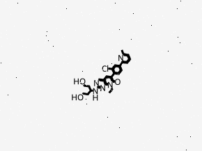 CCn1c(=O)c(-c2ccc(-c3cccc(C)n3)cc2Cl)cc2cnc(NC(CCO)CCO)nc21